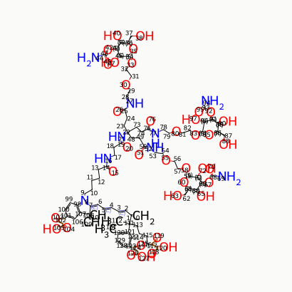 C=C(/C=C/C=C/C=C1/N(CCCCCC(=O)NCCC(=O)NC(CCC(=O)NCCOCCO[C@H]2O[C@H](CO)[C@@H](O)[C@H](OC(N)=O)[C@@H]2O)(CCC(=O)NCCOCCO[C@H]2O[C@H](CO)[C@@H](O)[C@H](OC(N)=O)[C@@H]2O)CCC(=O)NCCOCCO[C@H]2O[C@H](CO)[C@@H](O)[C@H](OC(N)=O)[C@@H]2O)c2ccc(S(=O)(=O)O)cc2C1(C)C)C(C)(CCCCS(=O)(=O)O)c1cc(S(=O)(=O)O)ccc1C